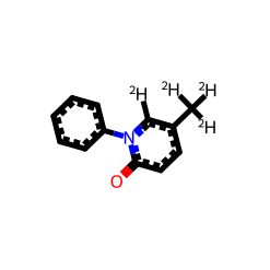 [2H]c1c(C([2H])([2H])[2H])ccc(=O)n1-c1ccccc1